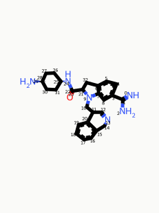 N=C(N)c1ccc2c(c1)N(CC1C=NCc3ccccc31)C(C(=O)N[C@H]1CC[C@H](N)CC1)C2